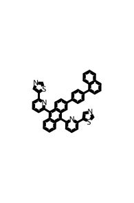 c1cc(-c2cncs2)nc(-c2c3ccccc3c(-c3cccc(-c4cncs4)n3)c3cc(-c4ccc(-c5cccc6ccccc56)cc4)ccc23)c1